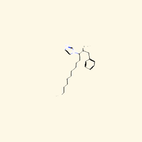 CCCCCCCCCCCCCCCCCCCC(C(CCCCCCC)Cc1ccccc1)n1ccnc1